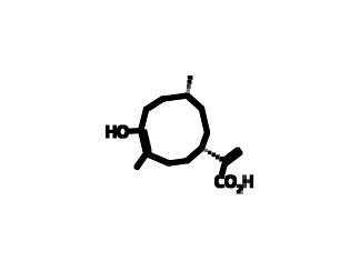 C=C(C(=O)O)[C@@H]1CC/C(C)=C(/O)CC[C@H](C)CC1